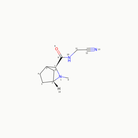 CN1[C@@H]2CCC(C2)[C@H]1C(=O)NCC#N